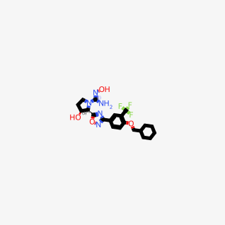 N/C(=N\O)N1CC[C@H](O)[C@H]1c1nc(-c2ccc(OCC3CCCCC3)c(C(F)(F)F)c2)no1